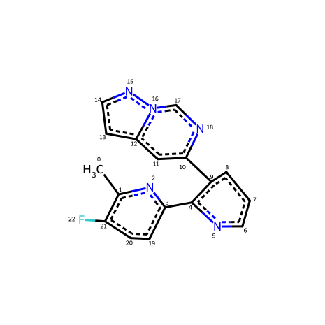 Cc1nc(-c2ncccc2-c2cc3ccnn3cn2)ccc1F